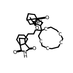 O=C1NC(=O)C23CCCCC12CC3CCCC1(C2CC34CCCCC23C(=O)NC4=O)CCCCCCCCCCCC1